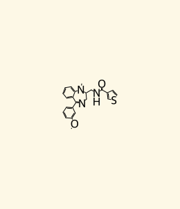 COc1cccc(C2=NCC(CNC(=O)c3ccsc3)N(C)c3ccccc32)c1